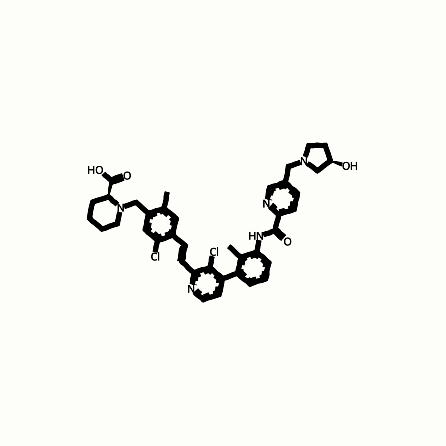 Cc1cc(/C=C/c2nccc(-c3cccc(NC(=O)c4ccc(CN5CC[C@@H](O)C5)cn4)c3C)c2Cl)c(Cl)cc1CN1CCCC[C@H]1C(=O)O